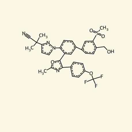 Cc1nc(-c2ccc(OC(F)(F)F)cc2)c(-c2cc(-c3ccc(CO)c(S(C)(=O)=O)c3)ccc2-n2ccc(C(C)(C)C#N)n2)o1